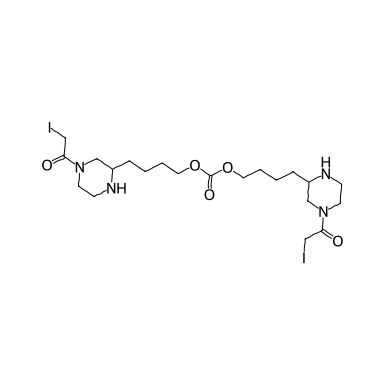 O=C(OCCCCC1CN(C(=O)CI)CCN1)OCCCCC1CN(C(=O)CI)CCN1